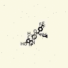 C[C@@H]1C[C@@H](O)c2ncnc(N3CCN(C(=O)[C@H](CNCC4CC4)c4ccc(C(F)(F)F)cc4)CC3)c21